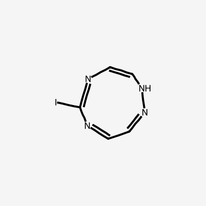 Ic1nccn[nH]ccn1